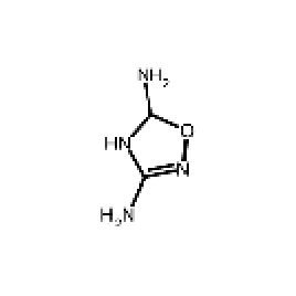 NC1=NOC(N)N1